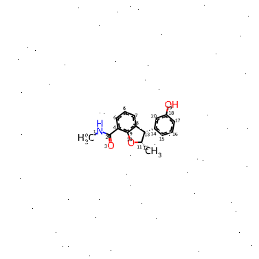 CNC(=O)c1cccc2c1O[C@@H](C)[C@H]2c1cccc(O)c1